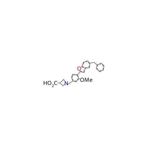 COc1cc(CN2CC(C(=O)O)C2)ccc1-c1cc2cc(Cc3ccccc3)ccc2o1